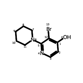 Oc1ccnc(N2CCCCC2)c1Br